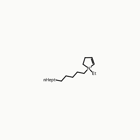 CCCCCCCCCCCC[N+]1(CC)C=CCC1